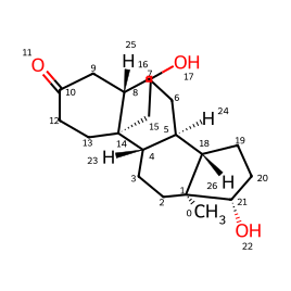 C[C@]12CC[C@H]3[C@@H](CC[C@H]4CC(=O)CC[C@@]43CCO)[C@@H]1CC[C@@H]2O